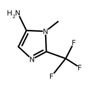 Cn1c(N)cnc1C(F)(F)F